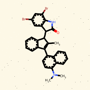 CC1=C(c2ccc(N(C)C)c3ccccc23)c2ccccc2C1C1C(=O)Nc2c(Br)cc(Br)cc21